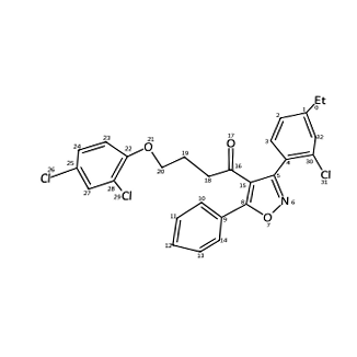 CCc1ccc(-c2noc(-c3ccccc3)c2C(=O)CCCOc2ccc(Cl)cc2Cl)c(Cl)c1